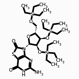 CC[Si](CC)(CC)OC[C@H]1O[C@@H](n2c(=O)sc3c(=O)[nH]c(N)nc32)[C@H](O[Si](CC)(CC)CC)[C@@H]1O[Si](CC)(CC)CC